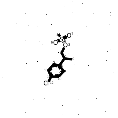 CC(COS(C)(=O)=O)c1ccc(Cl)cc1